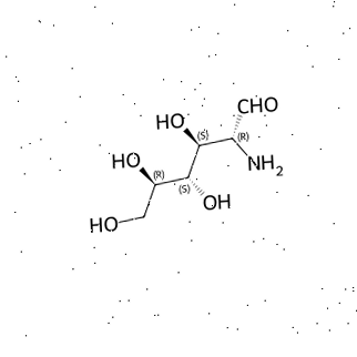 N[C@@H](C=O)[C@H](O)[C@H](O)[C@H](O)CO